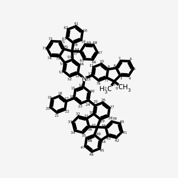 CC1(C)c2ccccc2-c2ccc(N(c3cc(-c4ccccc4)cc(-c4cccc5c4-c4ccccc4C54c5ccccc5-c5ccccc54)c3)c3ccc4c(c3)C(c3ccccc3)(c3ccccc3)c3ccccc3-4)cc21